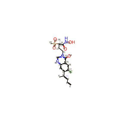 C=C/C=C(\C)c1cc2ncn(CC[C@](C)(C(=O)NO)S(C)(=O)=O)c(=O)c2cc1F